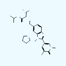 Cc1cc(-c2nc3ccc(CN[C@H](C(=O)OC(C)C)[C@@H](C)O)cc3n2C[C@@H]2CCCO2)cn(C)c1=O